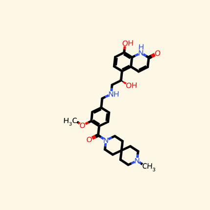 COc1cc(CNC[C@H](O)c2ccc(O)c3[nH]c(=O)ccc23)ccc1C(=O)N1CCC2(CCN(C)CC2)CC1